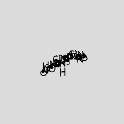 Cc1cc(Nc2cc3c(cn2)CCN(c2cnc4c(c2Cl)NCCO4)C3)ccc1NC(=O)CN1CCOCC1